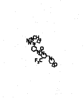 Cn1cnnc1[C@@H](c1cccc(-n2cc3c(C(F)(F)F)cc(CN4CCC5(CCO5)CC4)cn3c2=O)c1)C1CCC1